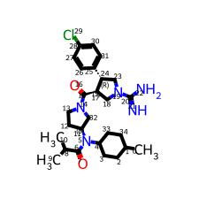 CC1CCC(N(C(=O)C(C)C)[C@H]2CCN(C(=O)[C@@H]3CN(C(=N)N)C[C@H]3c3ccc(Cl)cc3)C2)CC1